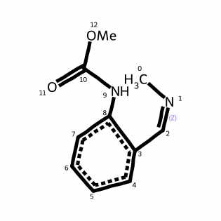 C/N=C\c1ccccc1NC(=O)OC